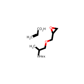 C=CC(=O)O.CCCCCCC(C)COCC1CO1